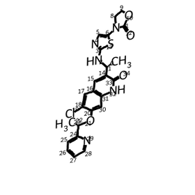 C[C@H](Nc1ncc(N2CCOC2=O)s1)c1cc2cc(Cl)c(O[C@H](C)c3ccccn3)cc2[nH]c1=O